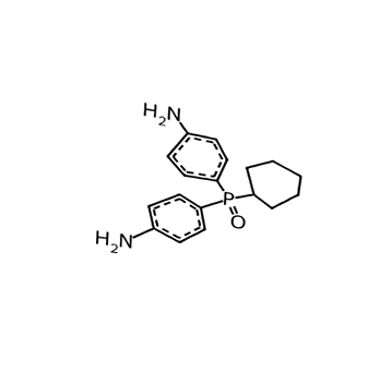 Nc1ccc(P(=O)(c2ccc(N)cc2)C2CCCCC2)cc1